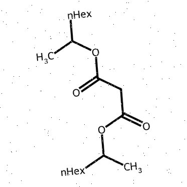 CCCCCCC(C)OC(=O)CC(=O)OC(C)CCCCCC